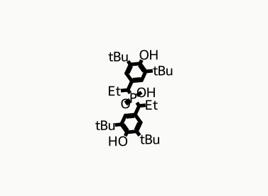 CCC(c1cc(C(C)(C)C)c(O)c(C(C)(C)C)c1)P(=O)(O)C(CC)c1cc(C(C)(C)C)c(O)c(C(C)(C)C)c1